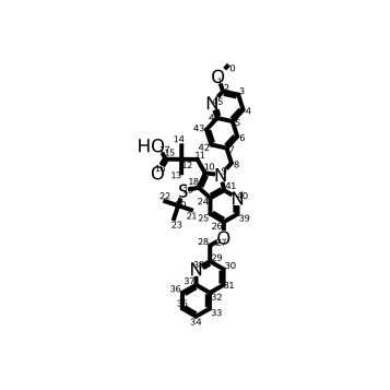 COc1ccc2cc(Cn3c(CC(C)(C)C(=O)O)c(SC(C)(C)C)c4cc(OCc5ccc6ccccc6n5)cnc43)ccc2n1